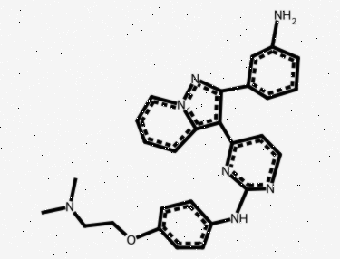 CN(C)CCOc1ccc(Nc2nccc(-c3c(-c4cccc(N)c4)nn4ccccc34)n2)cc1